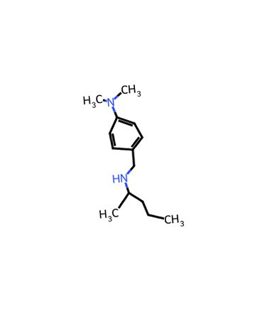 CCCC(C)NCc1ccc(N(C)C)cc1